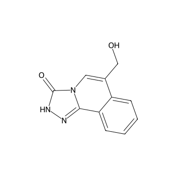 O=c1[nH]nc2c3ccccc3c(CO)cn12